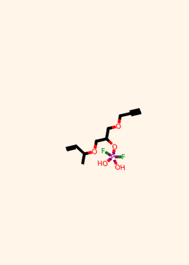 C#CCOCC(COC(C)C=C)OP(O)(O)(F)F